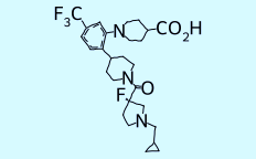 O=C(O)C1CCN(c2cc(C(F)(F)F)ccc2C2CCN(C(=O)[C@@]3(F)CCN(CC4CC4)C3)CC2)CC1